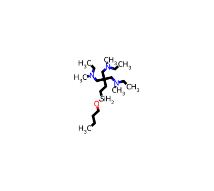 CCCCO[SiH2]CCC(CN(C)CC)(CN(C)CC)CN(C)CC